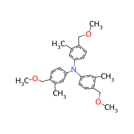 COCc1ccc(N(c2ccc(COC)c(C)c2)c2ccc(COC)c(C)c2)cc1C